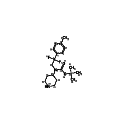 Cc1ccc(C(F)(F)CN(C(=O)OC(C)(C)C)C2CCNCC2)cc1